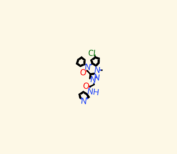 CN1c2ccc(Cl)cc2N(c2ccccc2)C(=O)c2cn(CC(=O)Nc3cccnc3)nc21